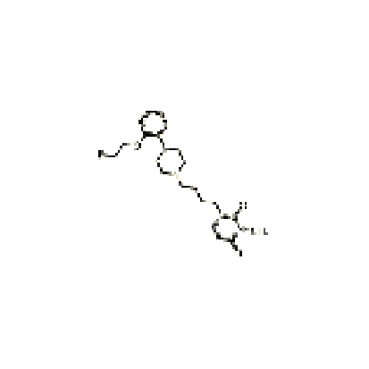 Cn1c(=O)ccn(CCCCN2CCN(c3ccccc3OCCF)CC2)c1=O